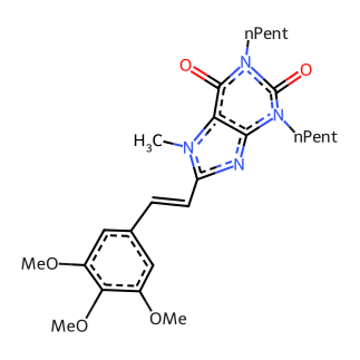 CCCCCn1c(=O)c2c(nc(C=Cc3cc(OC)c(OC)c(OC)c3)n2C)n(CCCCC)c1=O